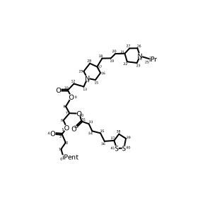 CCCC(C)CCC(=O)OCC(COC(=O)CCN1CCC(CCCC2CCN(C(C)C)CC2)CC1)OC(=O)CCCCC1CCSS1